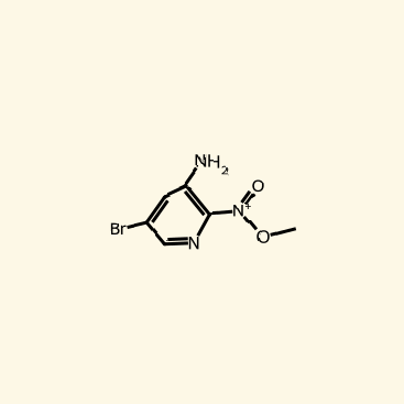 CO[N+](=O)c1ncc(Br)cc1N